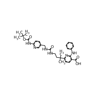 CC(C)(C)OC(=O)Nc1ccc(CNC(=O)NCCC(C)(C)c2ccc(C(=O)O)c(Nc3ccccc3)n2)cn1